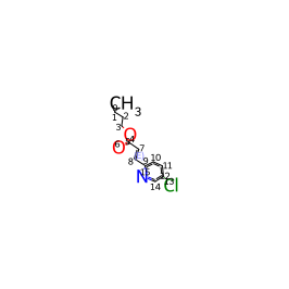 CCCCOC(=O)/C=C/c1ccc(Cl)cn1